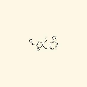 CCc1cc(C=O)sc1Cc1cccc(Cl)c1